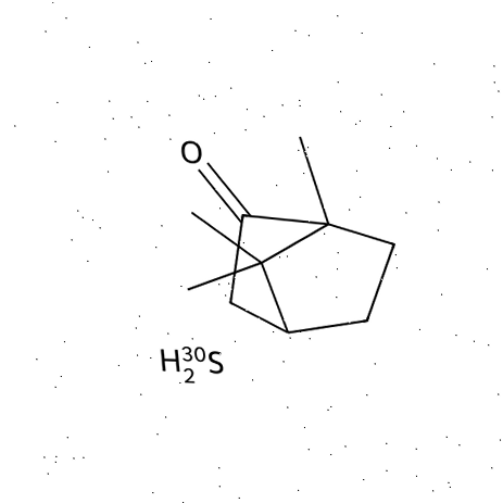 CC12CCC(CC1=O)C2(C)C.[30SH2]